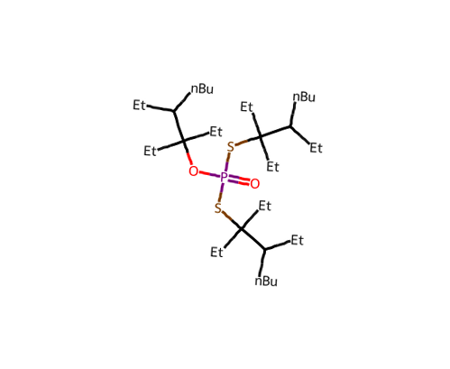 CCCCC(CC)C(CC)(CC)OP(=O)(SC(CC)(CC)C(CC)CCCC)SC(CC)(CC)C(CC)CCCC